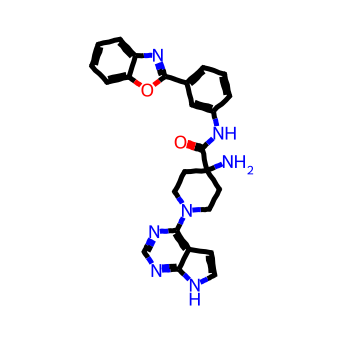 NC1(C(=O)Nc2cccc(-c3nc4ccccc4o3)c2)CCN(c2ncnc3[nH]ccc23)CC1